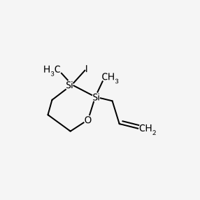 C=CC[Si]1(C)OCCC[Si]1(C)I